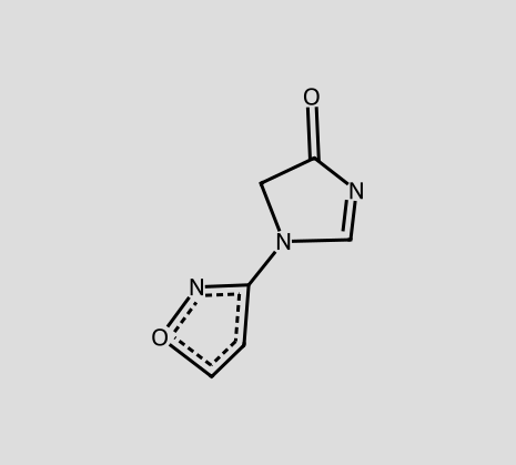 O=C1CN(c2ccon2)C=N1